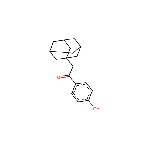 O=C(CC12CC3CC(CC(C3)C1)C2)c1ccc(O)cc1